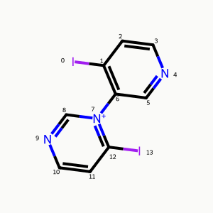 Ic1ccncc1-[n+]1cnccc1I